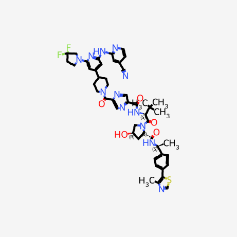 Cc1ncsc1-c1ccc([C@H](C)NC(=O)[C@@H]2C[C@@H](O)CN2C(=O)[C@@H](NC(=O)c2cnc(C(=O)N3CCC(c4cc(Nc5cc(C#N)ccn5)nc(N5CCC(F)(F)C5)c4)CC3)cn2)C(C)(C)C)cc1